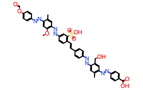 COc1cc(N=Nc2ccc(OC=O)cc2)c(C)cc1N=Nc1ccc(C=Cc2ccc(N=Nc3cc(C)c(N=Nc4ccc(C(=O)O)cc4)cc3CO)cc2)c(S(=O)(=O)O)c1